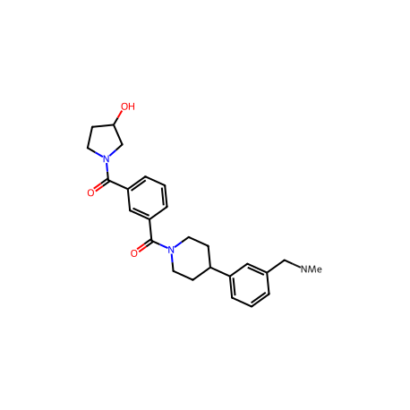 CNCc1cccc(C2CCN(C(=O)c3cccc(C(=O)N4CCC(O)C4)c3)CC2)c1